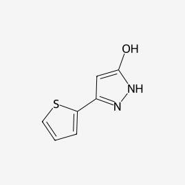 Oc1cc(-c2cccs2)n[nH]1